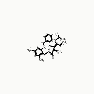 C=C/C(OC(C)C)=C(/Cl)C(=C)C(=O)NCc1c(C)cc(C)nc1OCc1ccccc1